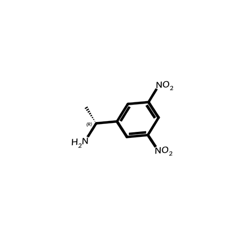 C[C@@H](N)c1cc([N+](=O)[O-])cc([N+](=O)[O-])c1